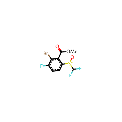 COC(=O)c1c([S+]([O-])C(F)F)ccc(F)c1Br